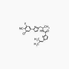 CC(C)=Cn1ccc(C(=O)NC(C)Cn2ccc(-c3cc(F)c(C#N)c(Cl)c3)n2)n1